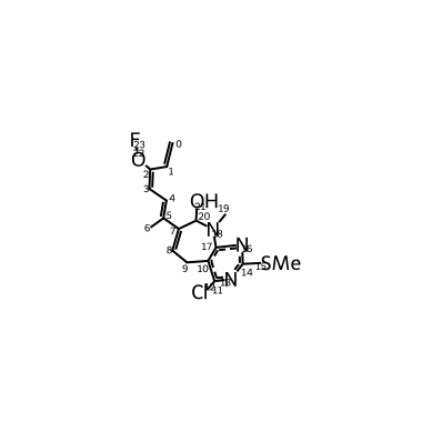 C=C/C(=C\C=C(/C)C1=CCc2c(Cl)nc(SC)nc2N(C)C1O)OF